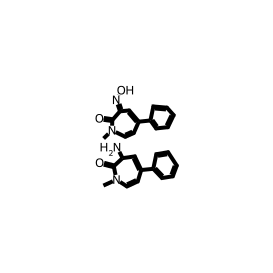 CN1C=CC(c2ccccc2)=CC(N)C1=O.Cn1ccc(-c2ccccc2)cc(=NO)c1=O